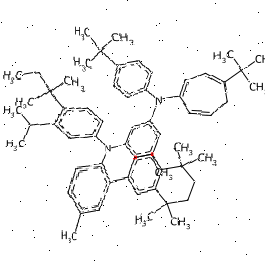 CCC(C)(C)c1ccc(N(c2cc(C)cc(N(C3=CC=C(C(C)(C)C)CC=C3)c3ccc(C(C)(C)C)cc3)c2)c2ccc(C)cc2-c2ccc3c(c2)C(C)(C)CCC3(C)C)cc1C(C)C